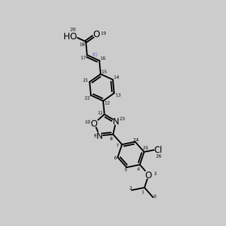 CC(C)Oc1ccc(-c2noc(-c3ccc(/C=C/C(=O)O)cc3)n2)cc1Cl